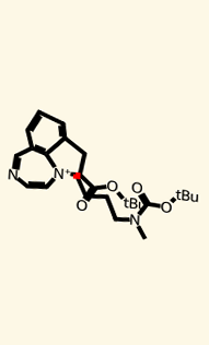 CN(CCCC[N@@+]12C=CN=Cc3cccc(c31)CC2C(=O)OC(C)(C)C)C(=O)OC(C)(C)C